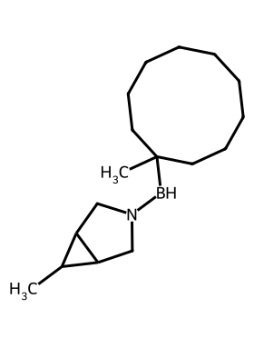 CC1C2CN(BC3(C)CCCCCCCCC3)CC12